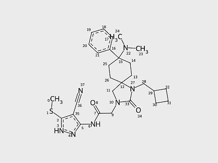 CSc1[nH]nc(NC(=O)CN2CC3(CCC(c4ccccc4)(N(C)C)CC3)N(CC3CCC3)C2=O)c1C#N